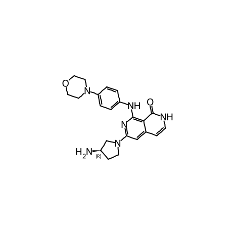 N[C@@H]1CCN(c2cc3cc[nH]c(=O)c3c(Nc3ccc(N4CCOCC4)cc3)n2)C1